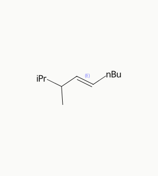 [CH2]C(C)C(C)/C=C/CCCC